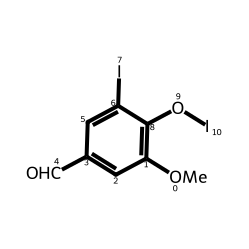 COc1cc(C=O)cc(I)c1OI